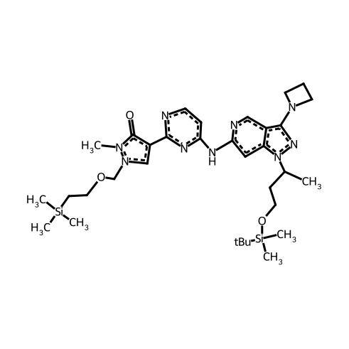 CC(CCO[Si](C)(C)C(C)(C)C)n1nc(N2CCC2)c2cnc(Nc3ccnc(-c4cn(COCC[Si](C)(C)C)n(C)c4=O)n3)cc21